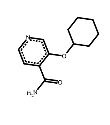 NC(=O)c1ccncc1OC1CCCCC1